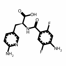 Nc1ccc(C[C@H](NC(=O)c2cc(F)c(N)cc2F)C(=O)O)cn1